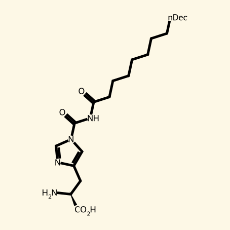 CCCCCCCCCCCCCCCCCC(=O)NC(=O)n1cnc(C[C@H](N)C(=O)O)c1